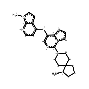 Cn1ccc2c(Sc3cnc(N4CCC5(CCC[C@H]5N)CC4)n4ccnc34)ccnc21